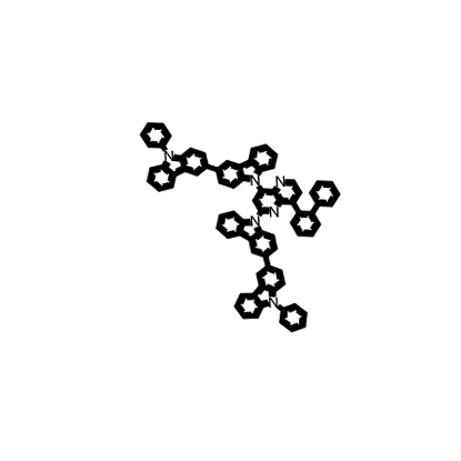 c1ccc(-c2ccccc2-c2ccnc3c(-n4c5ccccc5c5cc(-c6ccc7c(c6)c6ccccc6n7-c6ccccc6)ccc54)cc(-n4c5ccccc5c5cc(-c6ccc7c(c6)c6ccccc6n7-c6ccccc6)ccc54)nc23)cc1